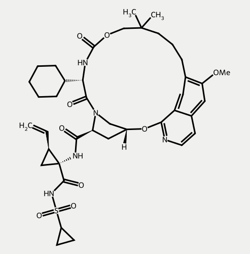 C=C[C@@H]1C[C@]1(NC(=O)[C@@H]1C[C@@H]2CN1C(=O)[C@H](C1CCCCC1)NC(=O)OCC(C)(C)CCCc1cc3c(nccc3cc1OC)O2)C(=O)NS(=O)(=O)C1CC1